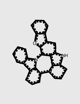 c1ccc2c(c1)oc1c2cc2[nH]c3cccc4c5cccc6c7ccccc7n(c56)c1c2c34